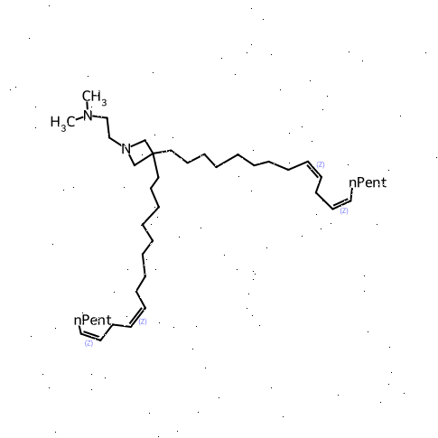 CCCCC/C=C\C/C=C\CCCCCCCCC1(CCCCCCCC/C=C\C/C=C\CCCCC)CN(CCN(C)C)C1